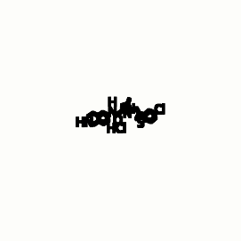 Cc1cc(C(=O)Nc2ccc3c(c2)CCNC3)nn1Cc1csc2ccc(Cl)cc12.Cl